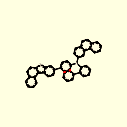 c1ccc(-c2ccccc2N(c2ccc(-c3ccc4c(c3)sc3ccc5ccccc5c34)cc2)c2ccc3ccc4ccccc4c3c2)cc1